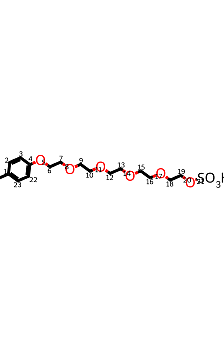 Cc1ccc(OCCOCCOCCOCCOCCOS(=O)(=O)O)cc1